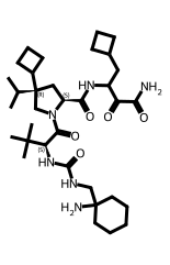 CC(C)[C@@]1(C2CCC2)C[C@@H](C(=O)NC(CC2CCC2)C(=O)C(N)=O)N(C(=O)[C@@H](NC(=O)NCC2(N)CCCCC2)C(C)(C)C)C1